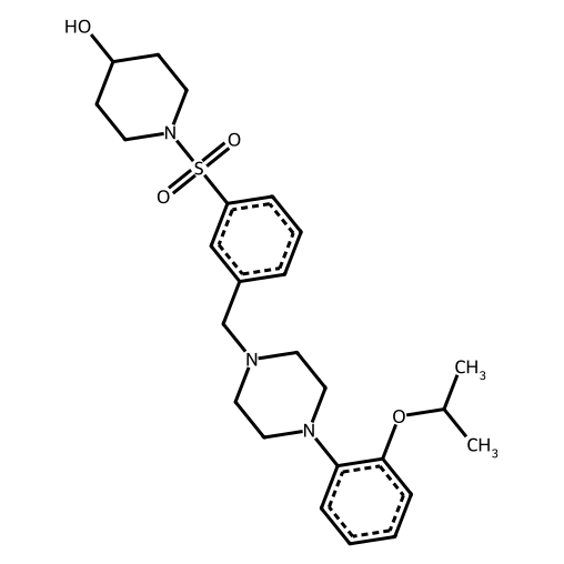 CC(C)Oc1ccccc1N1CCN(Cc2cccc(S(=O)(=O)N3CCC(O)CC3)c2)CC1